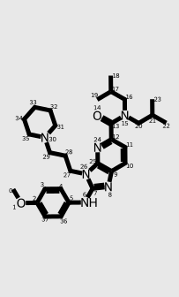 COc1ccc(Nc2nc3ccc(C(=O)N(CC(C)C)CC(C)C)nc3n2CCCN2CCCCC2)cc1